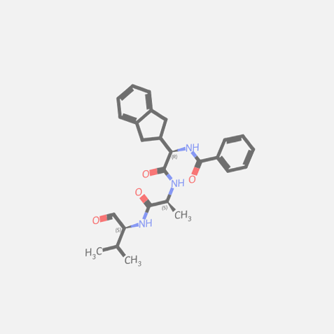 CC(C)[C@@H](C=O)NC(=O)[C@H](C)NC(=O)[C@H](NC(=O)c1ccccc1)C1Cc2ccccc2C1